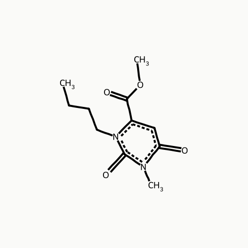 CCCCn1c(C(=O)OC)cc(=O)n(C)c1=O